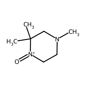 CN1CC[N+](=O)C(C)(C)C1